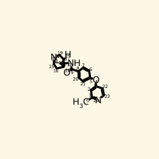 Cc1cc(Oc2ccc(C(=O)N[C@H]3CN4CCC3CC4)cc2)ccn1